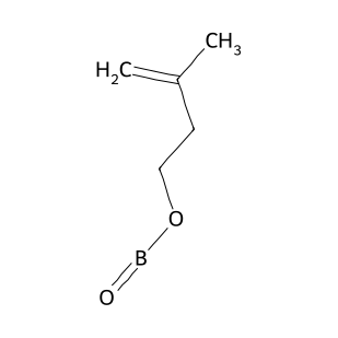 C=C(C)CCOB=O